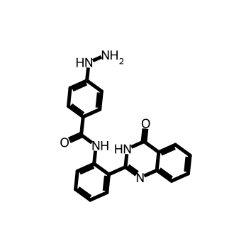 NNc1ccc(C(=O)Nc2ccccc2-c2nc3ccccc3c(=O)[nH]2)cc1